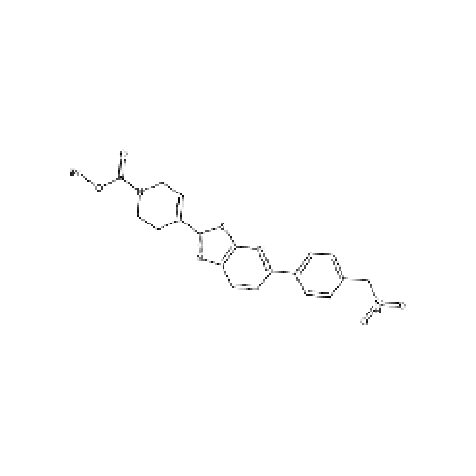 CC(C)OC(=O)N1CC=C(c2nc3ccc(-c4ccc(C[SH](=O)=O)cc4)nc3s2)CC1